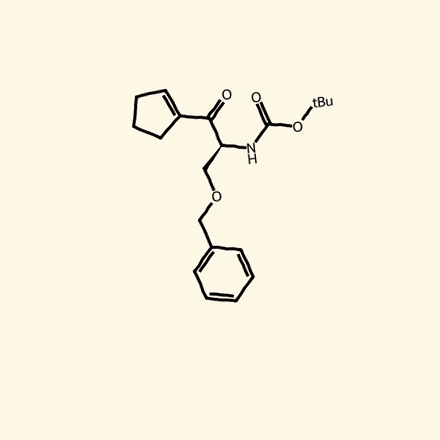 CC(C)(C)OC(=O)N[C@@H](COCc1ccccc1)C(=O)C1=CCCC1